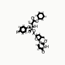 CC1C[C@@H](COP(=O)(N[C@@H](C)C(=O)OC2CCCCC2)Oc2ccc(F)cc2)O[C@H]1n1ccc(=O)[nH]c1=O